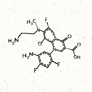 CN(CCN)c1c(F)cc2c(=O)c(C(=O)O)cn(-c3cc(N)c(F)cc3F)c2c1Cl